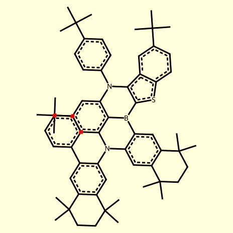 CC(C)(C)c1ccc(N2c3cc(C(C)(C)C)cc4c3B(c3cc5c(cc3N4c3cc4c(cc3-c3ccccc3)C(C)(C)CCC4(C)C)C(C)(C)CCC5(C)C)c3sc4ccc(C(C)(C)C)cc4c32)cc1